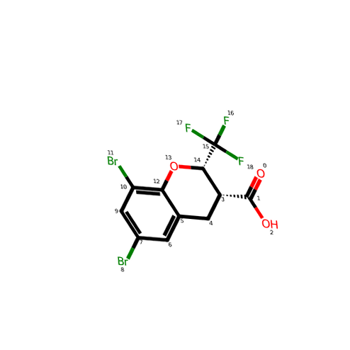 O=C(O)[C@@H]1Cc2cc(Br)cc(Br)c2O[C@@H]1C(F)(F)F